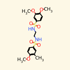 COc1ccc(S(=O)(=O)NCCNS(=O)(=O)c2ccc(OC)c(OC)c2)cc1C